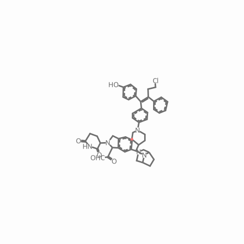 O=CC(=O)C1c2cc(N3CC4CCC(C3)N4CC3CCN(c4ccc(C(=C(CCCl)c5ccccc5)c5ccc(O)cc5)cc4)CC3)ccc2CN1C1CCC(=O)NC1=O